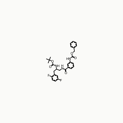 CC(C)(C)OC(=O)NC(CNC(=O)c1cccc(NC(=O)OCc2ccccc2)c1)Cc1cc(F)ccc1F